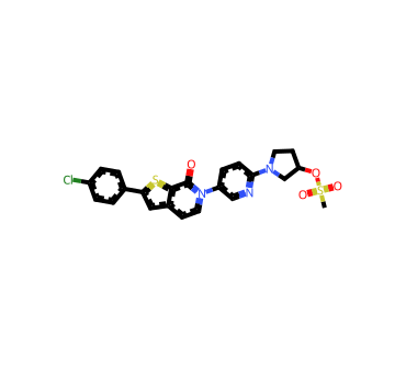 CS(=O)(=O)OC1CCN(c2ccc(-n3ccc4cc(-c5ccc(Cl)cc5)sc4c3=O)cn2)C1